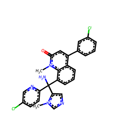 Cn1cncc1C(N)(c1ccc(Cl)cn1)c1cccc2c(-c3cccc(Cl)c3)cc(=O)n(C)c12